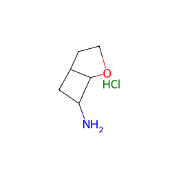 Cl.NC1CC2CCOC12